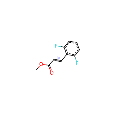 COC(=O)/C=C/c1c(F)cccc1F